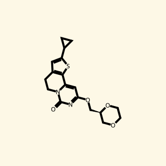 O=c1nc(OC[C@@H]2COCCO2)cc2n1CCc1cc(C3CC3)sc1-2